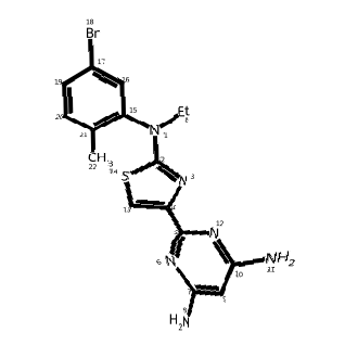 CCN(c1nc(-c2nc(N)cc(N)n2)cs1)c1cc(Br)ccc1C